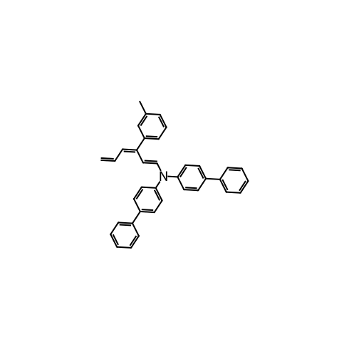 C=C/C=C(\C=C\N(c1ccc(-c2ccccc2)cc1)c1ccc(-c2ccccc2)cc1)c1cccc(C)c1